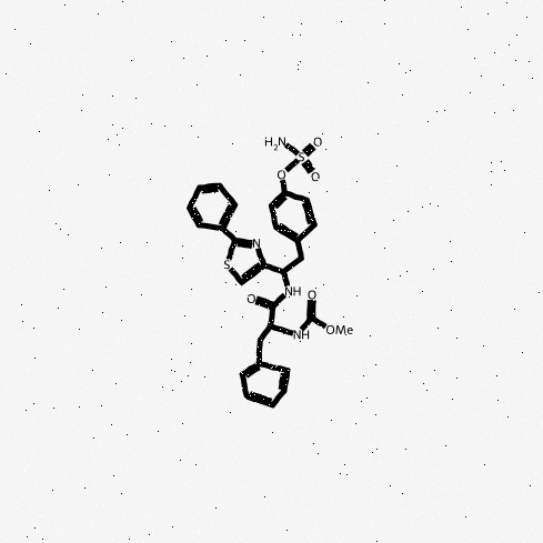 COC(=O)NC(Cc1ccccc1)C(=O)NC(Cc1ccc(OS(N)(=O)=O)cc1)c1csc(-c2ccccc2)n1